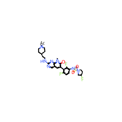 CC(=O)N1CCC(CCNc2ncc3cc(-c4c(F)ccc(NS(=O)(=O)N5CC[C@@H](F)C5)c4F)c(=O)n(C)c3n2)CC1